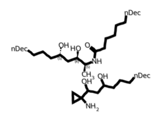 CCCCCCCCCCCCCC(O)CC(O)C1(N)CC1.CCCCCCCCCCCCCCCC(=O)N[C@@H](C)[C@H](O)C[C@@H](O)CCCCCCCCCCCCC